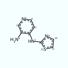 Nc1cnccc1Nc1nccs1